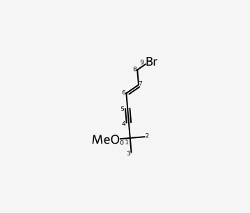 COC(C)(C)C#CC=CCBr